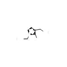 CCc1ccp(CC)c1[O]